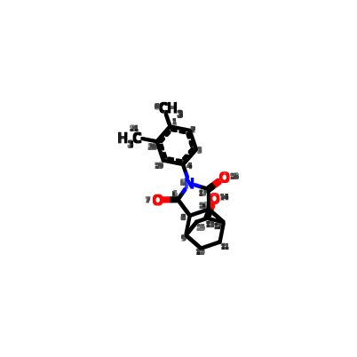 Cc1ccc(N2C(=O)C3C4CCC(C(=O)C4)C3C2=O)cc1C